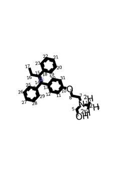 [2H]C([2H])([2H])N(CO)CCOc1ccc(/C(=C(/CC)c2ccccc2)c2ccccc2)cc1